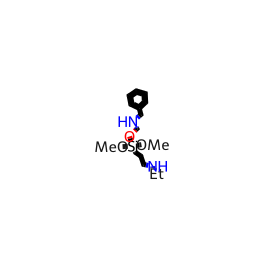 CCNCCC[Si](OC)(OC)OCNCc1ccccc1